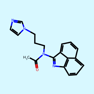 CC(=O)N(CCCn1ccnc1)C1=Nc2cccc3cccc1c23